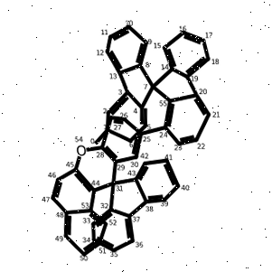 CC1C=C2C(=CC1)C1(c3ccccc32)c2ccccc2-c2cccc(-c3ccc4c(c3)C3(c5ccccc5-c5ccccc53)c3c(ccc5ccccc35)O4)c21